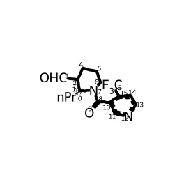 CCC[C@@H]1C(C=O)CCCN1C(=O)c1cnccc1C(F)(F)F